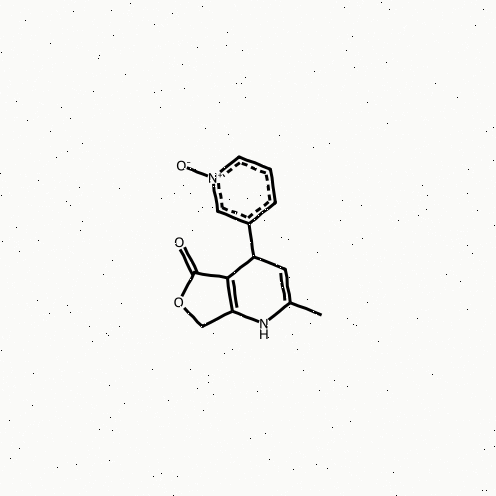 CC1=CC(c2ccc[n+]([O-])c2)C2=C(COC2=O)N1